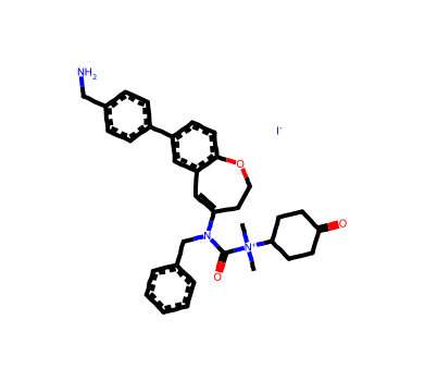 C[N+](C)(C(=O)N(Cc1ccccc1)C1=Cc2cc(-c3ccc(CN)cc3)ccc2OCC1)C1CCC(=O)CC1.[I-]